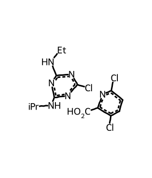 CCNc1nc(Cl)nc(NC(C)C)n1.O=C(O)c1nc(Cl)ccc1Cl